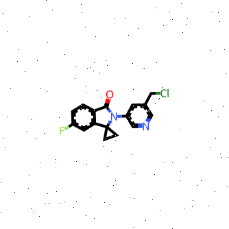 O=C1c2ccc(F)cc2C2(CC2)N1c1cncc(CCl)c1